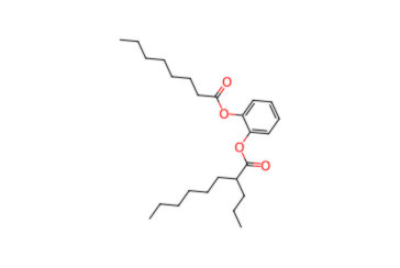 CCCCCCCC(=O)Oc1ccccc1OC(=O)C(CCC)CCCCCC